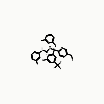 Cc1cccc(C[C@@](NC(=O)Nc2cccc(F)c2)(c2cc(F)cc(C(F)(F)F)c2)c2ccc(CI)cn2)c1